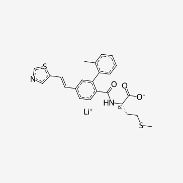 CSCC[C@H](NC(=O)c1ccc(C=Cc2cncs2)cc1-c1ccccc1C)C(=O)[O-].[Li+]